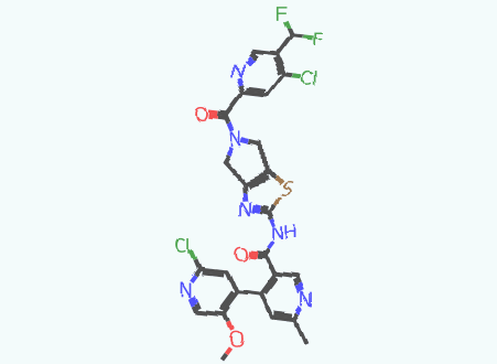 COc1cnc(Cl)cc1-c1cc(C)ncc1C(=O)Nc1nc2c(s1)CN(C(=O)c1cc(Cl)c(C(F)F)cn1)C2